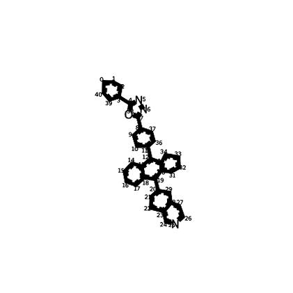 c1ccc(-c2nnc(-c3ccc(-c4c5ccccc5c(-c5ccc6cnccc6c5)c5ccccc45)cc3)o2)cc1